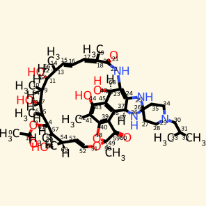 CC(=O)O[C@H]1[C@H](C)[C@H](O)[C@H](C)[C@@H](O)[C@@H](C)/C=C/C=C(/C)C(=O)NC2=C3NC4(CCN(CC(C)C)CC4)N[C@H]3c3c4c(c(C)c(O)c3[C@H]2O)O[C@](C)(O/C=C/[C@H](CO)[C@H]1C)C4=O